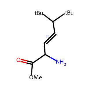 COC(=O)C(N)/C=C/C(C(C)(C)C)C(C)(C)C